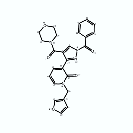 O=C(c1cn(C(=O)c2ccccc2)nc1-c1cccn(Cc2ccoc2)c1=O)N1CCOCC1